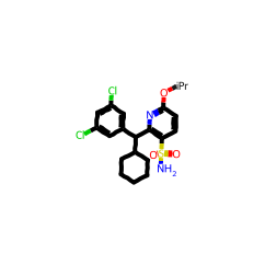 CC(C)Oc1ccc(S(N)(=O)=O)c(C(c2cc(Cl)cc(Cl)c2)C2CCCCC2)n1